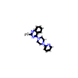 CC(C)c1nc(N2CCN(c3ccccn3)CC2)c2ccccc2n1